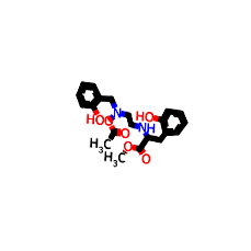 COC(=O)C(Cc1ccccc1O)NCCN(Cc1ccccc1O)OC(C)=O